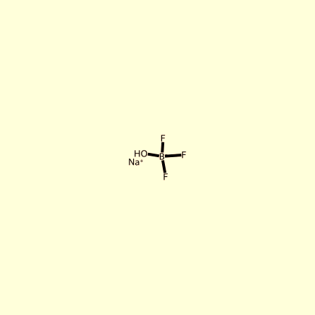 O[B-](F)(F)F.[Na+]